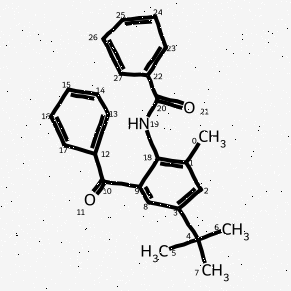 Cc1cc(C(C)(C)C)cc(C(=O)c2ccccc2)c1NC(=O)c1ccccc1